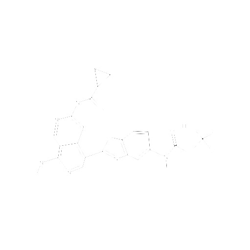 CNc1ncc(-c2nc3cc(N(C)C(=O)OC(C)(C)C)ccc3o2)c2cc(NC(=O)C3CC3)ncc12